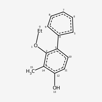 CCOc1c(-c2ccccc2)ccc(O)c1C